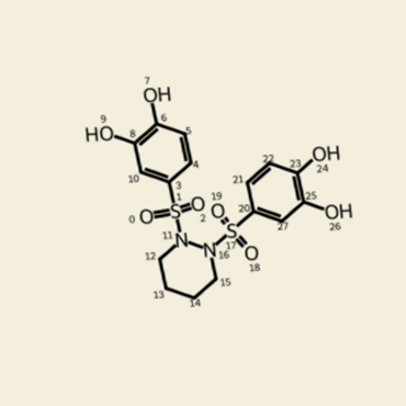 O=S(=O)(c1ccc(O)c(O)c1)N1CCCCN1S(=O)(=O)c1ccc(O)c(O)c1